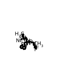 C=CC(=O)N1CCN(c2nc(OCCN(C)CC3CC(F)(F)C3)nc3c2CCN(c2cccc4cccc(Cl)c24)C3)C[C@@H]1CC#N